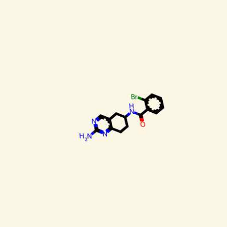 Nc1ncc2c(n1)CCC(NC(=O)c1ccccc1Br)C2